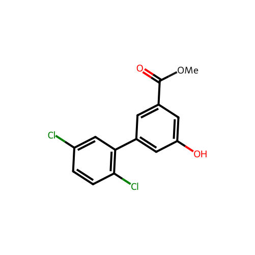 COC(=O)c1cc(O)cc(-c2cc(Cl)ccc2Cl)c1